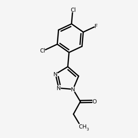 CCC(=O)n1cc(-c2cc(F)c(Cl)cc2Cl)nn1